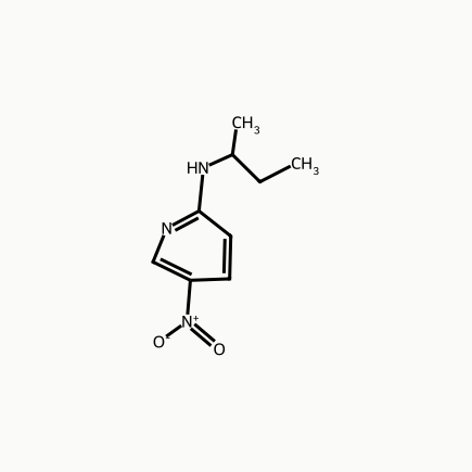 CCC(C)Nc1ccc([N+](=O)[O-])cn1